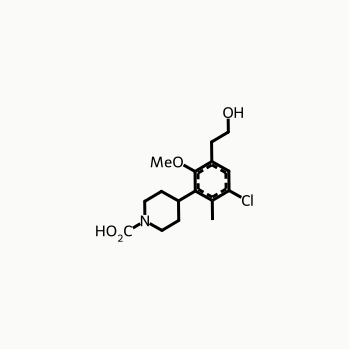 COc1c(CCO)cc(Cl)c(C)c1C1CCN(C(=O)O)CC1